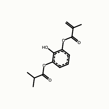 C=C(C)C(=O)Oc1cccc(OC(=O)C(C)C)c1O